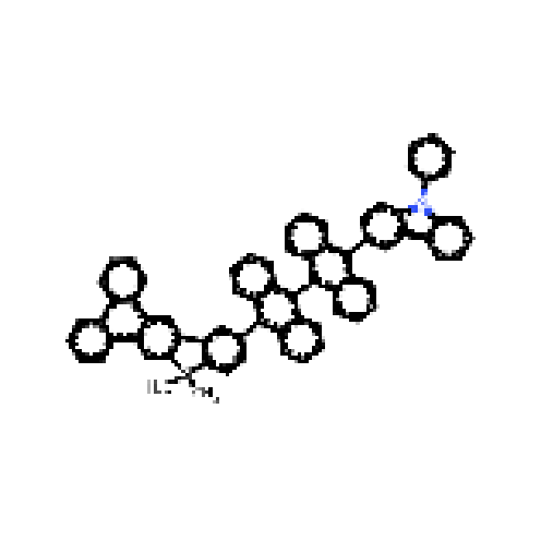 C[Si]1(C)c2ccc(-c3c4ccccc4c(-c4c5ccccc5c(-c5ccc6c(c5)c5ccccc5n6-c5ccccc5)c5ccccc45)c4ccccc34)cc2-c2cc3c4ccccc4c4ccccc4c3cc21